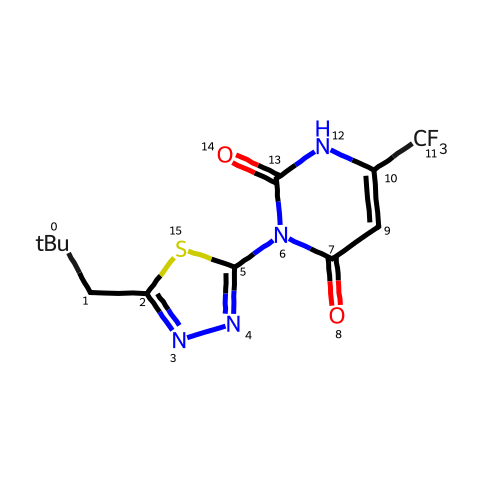 CC(C)(C)Cc1nnc(-n2c(=O)cc(C(F)(F)F)[nH]c2=O)s1